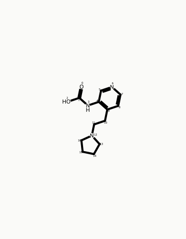 O=C(O)Nc1cnccc1CCN1CCCC1